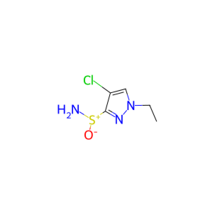 CCn1cc(Cl)c([S+](N)[O-])n1